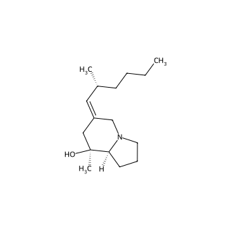 CCCC[C@@H](C)/C=C1\CN2CCC[C@H]2[C@@](C)(O)C1